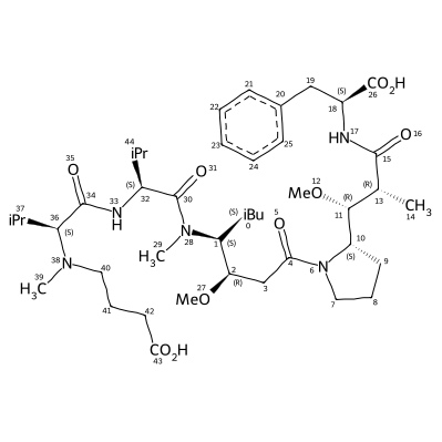 CC[C@H](C)[C@@H]([C@@H](CC(=O)N1CCC[C@H]1[C@H](OC)[C@@H](C)C(=O)N[C@@H](Cc1ccccc1)C(=O)O)OC)N(C)C(=O)[C@@H](NC(=O)[C@H](C(C)C)N(C)CCCC(=O)O)C(C)C